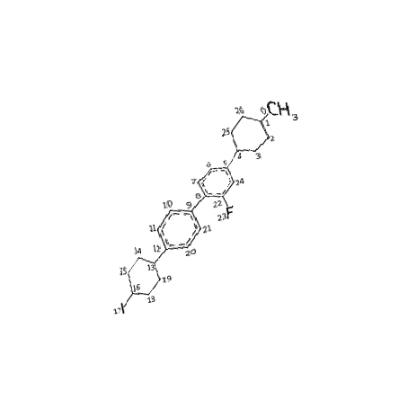 CC1CCC(c2ccc(-c3ccc(C4CCC(I)CC4)cc3)c(F)c2)CC1